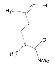 CNC(=O)N(C)CC/C(C)=C\I